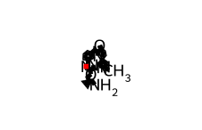 Cn1cc(-c2ccc(=O)n(Cc3cccc(-c4ncc(OCC5(CN)CC5)cn4)c3)n2)cn1